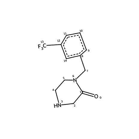 O=C1CNCCN1Cc1cccc(C(F)(F)F)c1